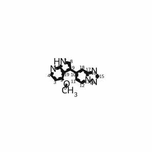 COc1ccnc2[nH]cc(-c3ccn4ncnc4c3)c12